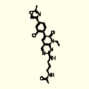 CCn1c(=O)c(-c2ccc(-c3noc(C)n3)cc2Cl)cc2cnc(NCCCNC(C)=O)nc21